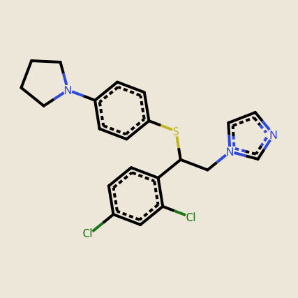 Clc1ccc(C(Cn2ccnc2)Sc2ccc(N3CCCC3)cc2)c(Cl)c1